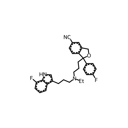 CCN(CCCc1c[nH]c2c(F)cccc12)CCCC1(c2ccc(F)cc2)OCc2cc(C#N)ccc21